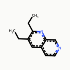 CCc1cc2ccncc2nc1CC